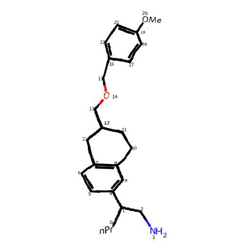 CCCC(CN)c1ccc2c(c1)CCC(COCc1ccc(OC)cc1)C2